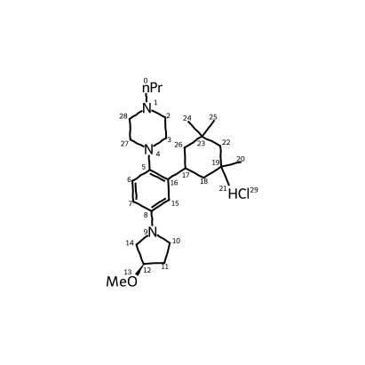 CCCN1CCN(c2ccc(N3CC[C@@H](OC)C3)cc2C2CC(C)(C)CC(C)(C)C2)CC1.Cl